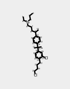 CCCN(CC)CCCC(C)c1ccc(C(C)(C)c2ccc(CCCCCl)c(Cl)c2)cc1